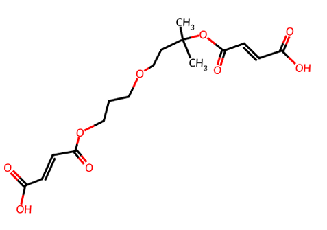 CC(C)(CCOCCCOC(=O)C=CC(=O)O)OC(=O)C=CC(=O)O